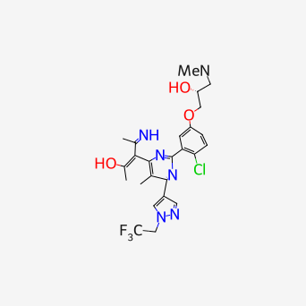 CNC[C@@H](O)COc1ccc(Cl)c(-c2nc(/C(C(C)=N)=C(\C)O)c(C)c(-c3cnn(CC(F)(F)F)c3)n2)c1